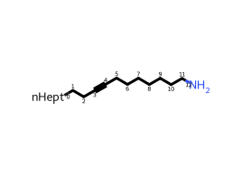 CCCCCCCCCC#CCCCCCCCN